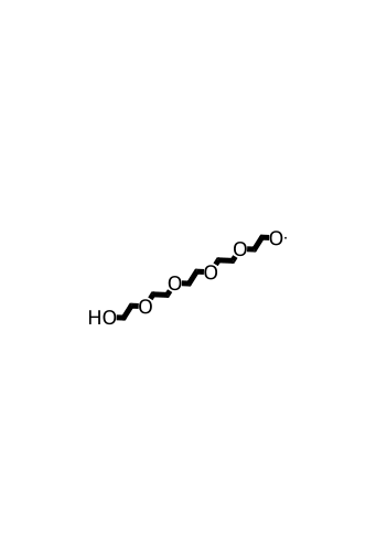 [O]CCOCCOCCOCCOCCO